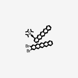 Brc1cc2cc3cc4cc5ccccc5cc4cc3cc2cc1Br.CC(C)[Si](C#Cc1cccc2cc3cc4cc5ccccc5cc4cc3cc12)(C(C)C)C(C)C